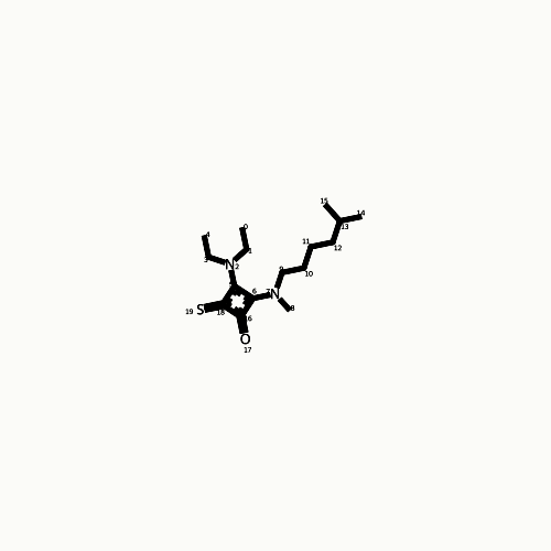 CCN(CC)c1c(N(C)CCCCC(C)C)c(=O)c1=S